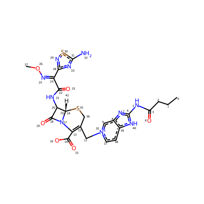 CCCC(=O)Nc1nc2c[n+](CC3=C(C(=O)[O-])N4C(=O)C(NC(=O)C(=NOC)c5nsc(N)n5)[C@@H]4SC3)ccc2[nH]1